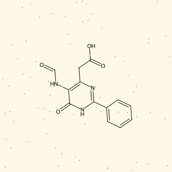 O=CNc1c(CC(=O)O)nc(-c2ccccc2)[nH]c1=O